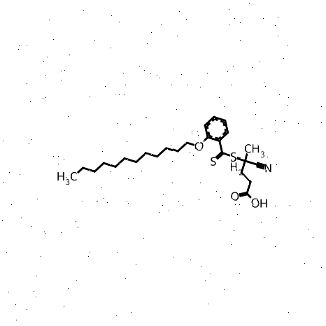 CCCCCCCCCCCCOc1ccccc1C(=S)[SH2]C(C)(C#N)CCC(=O)O